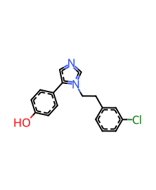 Oc1ccc(-c2cncn2CCc2cccc(Cl)c2)cc1